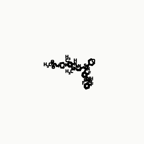 COc1cc(N2CCN(CCS(C)(=O)=O)CC2)c(C)cc1Nc1nccc(-c2sc(C3CCOCC3)nc2-c2cccc(NS(=O)(=O)c3c(F)cccc3F)c2F)n1